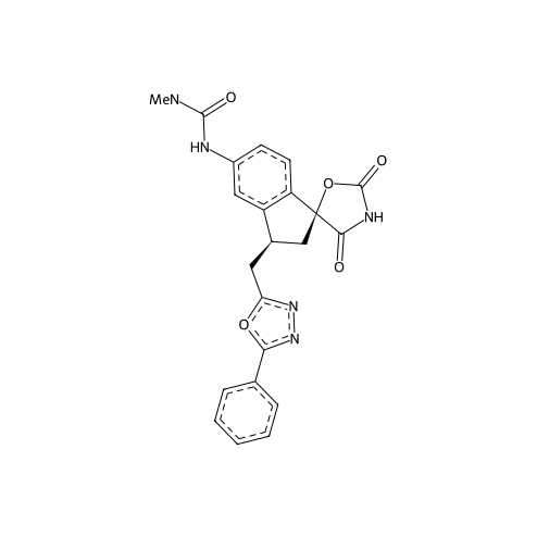 CNC(=O)Nc1ccc2c(c1)[C@H](Cc1nnc(-c3ccccc3)o1)C[C@]21OC(=O)NC1=O